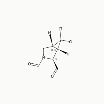 O=C[C@@H]1[C@@H]2[C@H](CN1C=O)C2(Cl)Cl